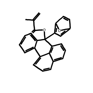 C=C(C)C(=O)OC1(c2cc3ccc2o3)c2ccccc2-c2cccc3cccc1c23